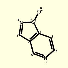 [O-][s+]1ncc2cnccc21